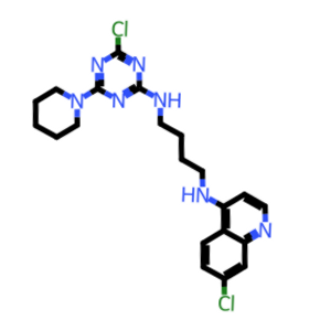 Clc1ccc2c(NCCCCNc3nc(Cl)nc(N4CCCCC4)n3)ccnc2c1